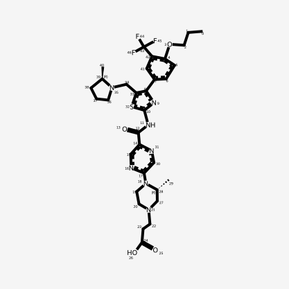 CCCOc1ccc(-c2nc(NC(=O)c3cnc(N4CCN(CCC(=O)O)C[C@H]4C)cn3)sc2CN2CCC[C@H]2C)cc1C(F)(F)F